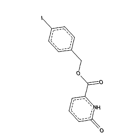 O=C(OCc1ccc(I)cc1)c1cccc(=O)[nH]1